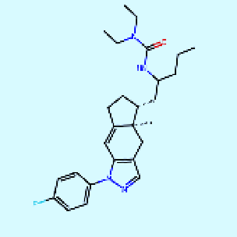 CCCC(C[C@H]1CCC2=Cc3c(cnn3-c3ccc(F)cc3)C[C@@]21C)NC(=O)N(CC)CC